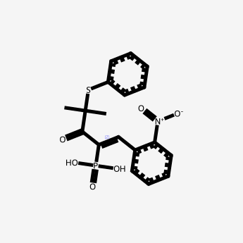 CC(C)(Sc1ccccc1)C(=O)/C(=C/c1ccccc1[N+](=O)[O-])P(=O)(O)O